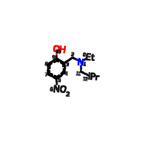 CCN(Cc1cc([N+](=O)[O-])ccc1O)CC(C)C